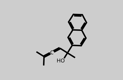 CC(C)=C=CC(C)(O)c1ccc2ccccc2c1